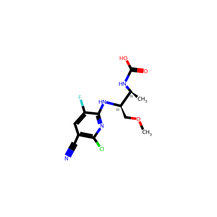 COC[C@@H](Nc1nc(Cl)c(C#N)cc1F)[C@H](C)NC(=O)O